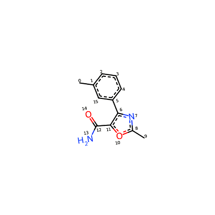 Cc1cccc(-c2nc(C)oc2C(N)=O)c1